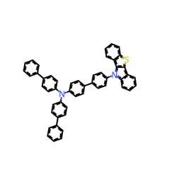 c1ccc(-c2ccc(N(c3ccc(-c4ccccc4)cc3)c3ccc(-c4ccc(-n5c6ccccc6c6sc7ccccc7c65)cc4)cc3)cc2)cc1